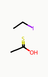 CC(O)=S.CCI